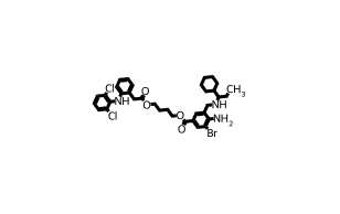 CCC(NCc1cc(C(=O)OCCCCOC(=O)Cc2ccccc2Nc2c(Cl)cccc2Cl)cc(Br)c1N)C1CCCCC1